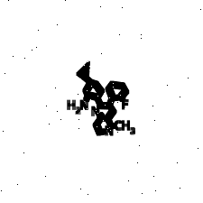 Cc1nccc2nc(-c3ccc(C4CC4)cc3N)c(-c3ccccc3F)cc12